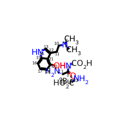 CC[C@H](C)[C@H](N)C(=O)NC(=O)O.CN(C)CCc1c[nH]c2cccc(O)c12.NC(=O)O